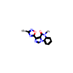 CC(C)n1c(=O)c2c(-c3nc(C(C)(C)C)no3)ncn2c2ccccc21